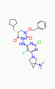 CN(C)C12CC1CN(c1nc(Cl)nc(NNC(=O)[C@H](CC3CCCC3)CN(C=O)OCc3ccccc3)c1F)C2